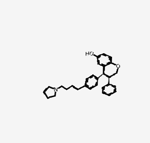 Oc1ccc2c(c1)[C@H](c1ccc(CCCCN3CCCC3)cc1)[C@H](c1ccccc1)CO2